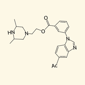 CC(=O)c1ccc2c(c1)ncn2-c1cccc(C(=O)OCCN2CC(C)NC(C)C2)c1